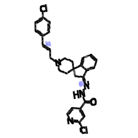 O=C(N/N=C1\CC2(CCN(C/C=C/c3ccc(Cl)cc3)CC2)c2ccccc21)c1ccnc(Cl)c1